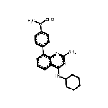 CN(C=O)c1ccc(-c2cccc3c(NC4CCCCC4)nc(N)nc23)cc1